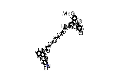 CC/N=c1\ccc2nc3c(cc(NC(=O)CCOCCOCCOCCOCCNC(=O)Cc4c(C)n(C(=O)c5ccc(Cl)cc5)c5ccc(OC)cc45)c4ccccc43)oc-2c1